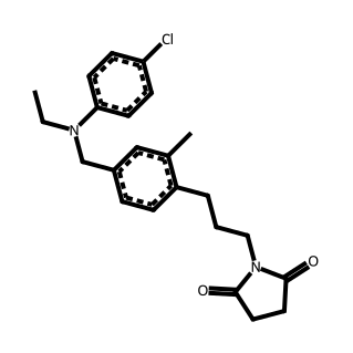 CCN(Cc1ccc(CCCN2C(=O)CCC2=O)c(C)c1)c1ccc(Cl)cc1